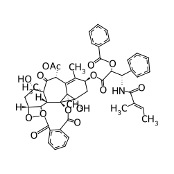 C/C=C(\C)C(=O)N[C@@H](c1ccccc1)[C@@H](OC(=O)c1ccccc1)C(=O)O[C@H]1C[C@]2(O)[C@]3(C)C(=C1C)[C@@H](OC(C)=O)C(=O)[C@@]1(C)[C@H]4[C@@]5(CO[C@@H]5C[C@@H]1O)OC(=O)c1ccccc1C(=O)O[C@]423